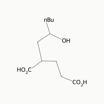 CCCCC(O)CC(CCC(=O)O)C(=O)O